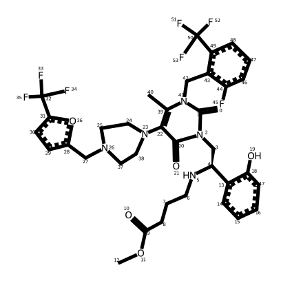 C=C1N(C[C@H](NCCCC(=O)OC)c2ccccc2O)C(=O)C(N2CCN(Cc3ccc(C(F)(F)F)o3)CC2)=C(C)N1Cc1c(F)cccc1C(F)(F)F